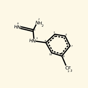 N=C(N)Nc1cc[c]c(C(F)(F)F)c1